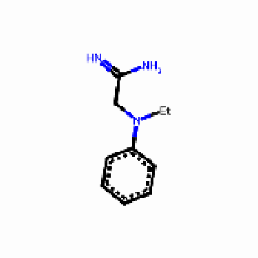 CCN(CC(=N)N)c1ccccc1